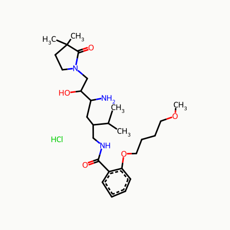 COCCCCOc1ccccc1C(=O)NCC(CC(N)C(O)CN1CCC(C)(C)C1=O)C(C)C.Cl